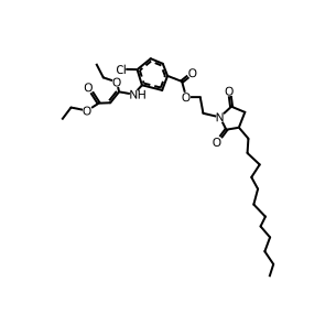 CCCCCCCCCCCCC1CC(=O)N(CCOC(=O)c2ccc(Cl)c(NC(=CC(=O)OCC)OCC)c2)C1=O